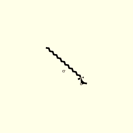 CCCCCCCCCCCCCCCCCC[N+](C)(C)C1OC1C.[Cl-]